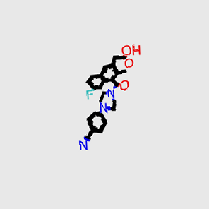 Cc1c(CC(=O)O)cc2ccc(F)cc2c1C(=O)N1CCN(c2ccc(C#N)cc2)CC1